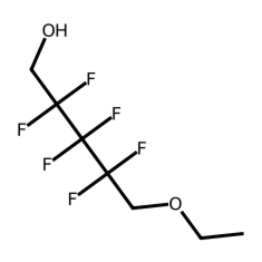 CCOCC(F)(F)C(F)(F)C(F)(F)CO